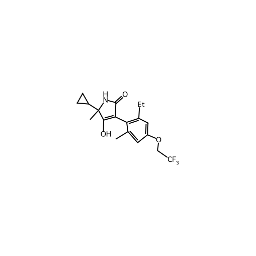 CCc1cc(OCC(F)(F)F)cc(C)c1C1=C(O)C(C)(C2CC2)NC1=O